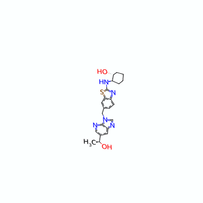 C[C@H](O)c1cnc2c(c1)ncn2Cc1ccc2nc(N[C@@H]3CCCC[C@H]3O)sc2c1